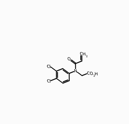 C=CC(=O)N(CC(=O)O)c1ccc(Cl)c(Cl)c1